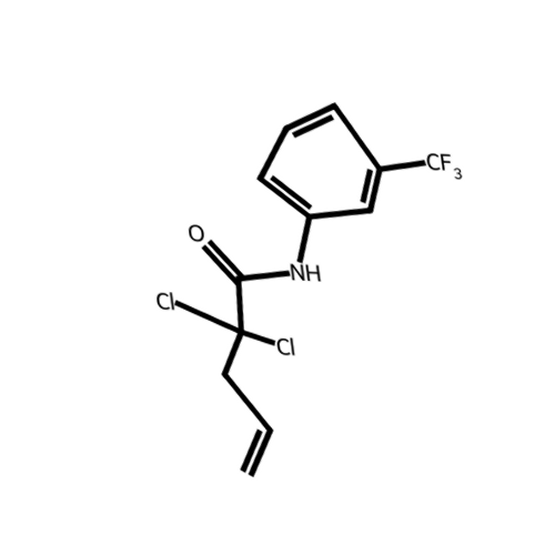 C=CCC(Cl)(Cl)C(=O)Nc1cccc(C(F)(F)F)c1